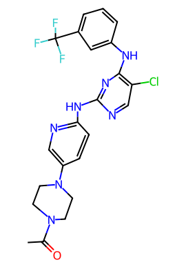 CC(=O)N1CCN(c2ccc(Nc3ncc(Cl)c(Nc4cccc(C(F)(F)F)c4)n3)nc2)CC1